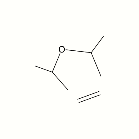 C=C.CC(C)OC(C)C